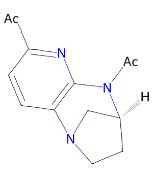 CC(=O)c1ccc2c(n1)N(C(C)=O)[C@H]1CCN2C1